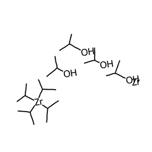 CC(C)O.CC(C)O.CC(C)O.CC(C)O.C[CH](C)[Zr]([CH](C)C)([CH](C)C)[CH](C)C.[Zr]